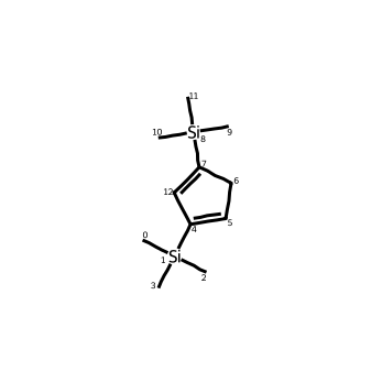 C[Si](C)(C)C1=CCC([Si](C)(C)C)=C1